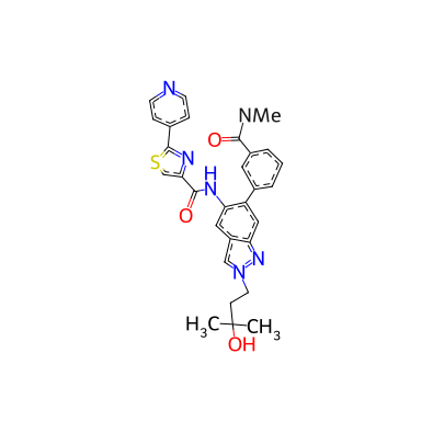 CNC(=O)c1cccc(-c2cc3nn(CCC(C)(C)O)cc3cc2NC(=O)c2csc(-c3ccncc3)n2)c1